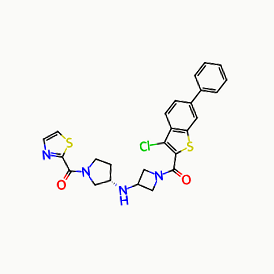 O=C(c1nccs1)N1CC[C@H](NC2CN(C(=O)c3sc4cc(-c5ccccc5)ccc4c3Cl)C2)C1